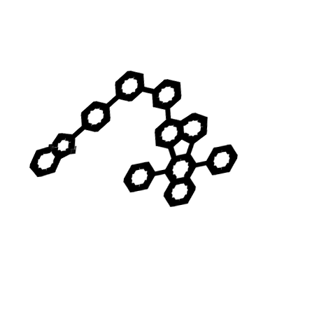 c1ccc(-c2c3c(c(-c4ccccc4)c4ccccc24)-c2ccc(-c4cccc(-c5cccc(-c6ccc(-c7cn8ccccc8n7)cc6)c5)c4)c4cccc-3c24)cc1